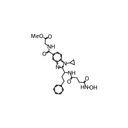 COC(=O)CNC(=O)c1ccc2c(c1)nc(C(CCc1ccccc1)NC(=O)CCC(=O)NO)n2C1CC1